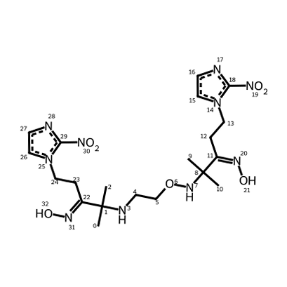 CC(C)(NCCONC(C)(C)C(CCn1ccnc1[N+](=O)[O-])=NO)C(CCn1ccnc1[N+](=O)[O-])=NO